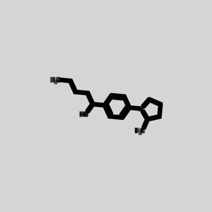 CCCCC(O)c1ccc(N2CCCC2C)cc1